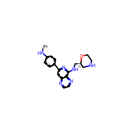 CC(C)Nc1ccc(-c2cc3nccnc3c(NC[C@@H]3CNCCO3)n2)cc1